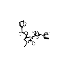 CC[S+]([O-])c1nnc(N2C(=O)N(C)CC2OC(=O)C2CCCO2)s1